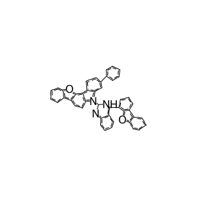 c1ccc(-c2ccc3c4c5oc6ccccc6c5ccc4n(C4N=c5ccccc5=C(c5cccc6c5oc5ccccc56)N4)c3c2)cc1